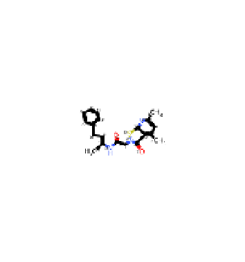 Cc1cc(C)c2c(=O)n(CC(=O)NC(C)CCc3ccccc3)sc2n1